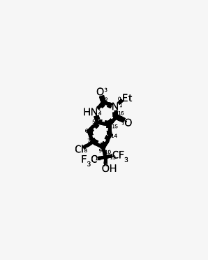 CCn1c(=O)[nH]c2cc(Cl)c(C(O)(C(F)(F)F)C(F)(F)F)cc2c1=O